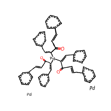 O=C(C=Cc1ccccc1)[C](=Cc1ccccc1)[Pd]([C](=Cc1ccccc1)C(=O)C=Cc1ccccc1)[C](=Cc1ccccc1)C(=O)C=Cc1ccccc1.[Pd].[Pd]